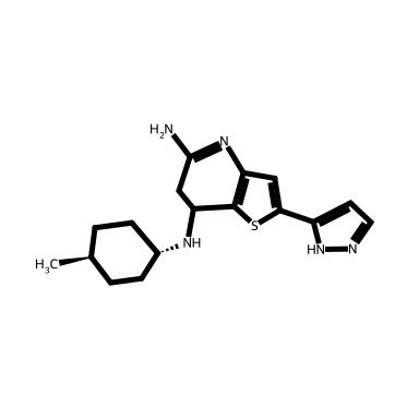 C[C@H]1CC[C@H](NC2CC(N)=Nc3cc(-c4ccn[nH]4)sc32)CC1